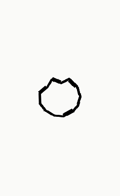 [CH]1C/C=C\CC\C=C/C=C/C=C/C1